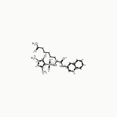 CC(=O)CCCCC[C@H](NS(=O)(=O)c1c(C)nn(C)c1Cl)C(=O)Nc1cnc2ccccc2c1